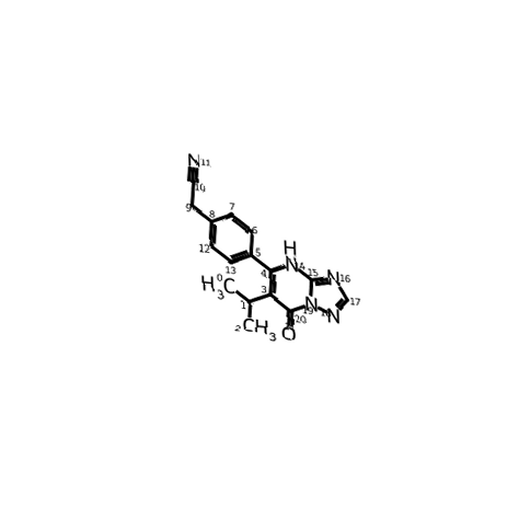 CC(C)c1c(-c2ccc(CC#N)cc2)[nH]c2ncnn2c1=O